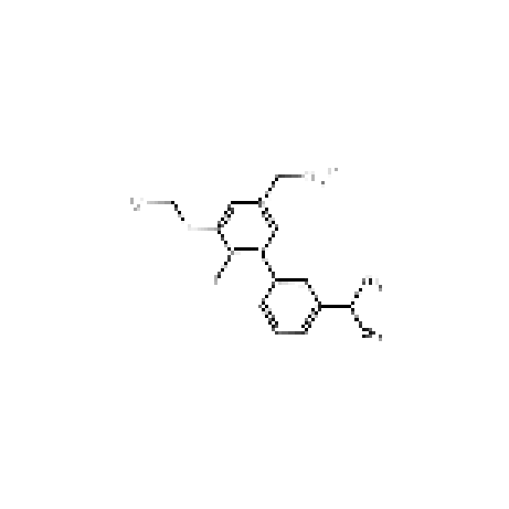 CCOc1c[n+](CC)cc(-c2cccc(C(C)C)c2)c1I.[F-]